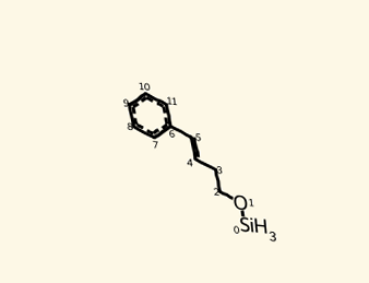 [SiH3]OCCC=Cc1ccccc1